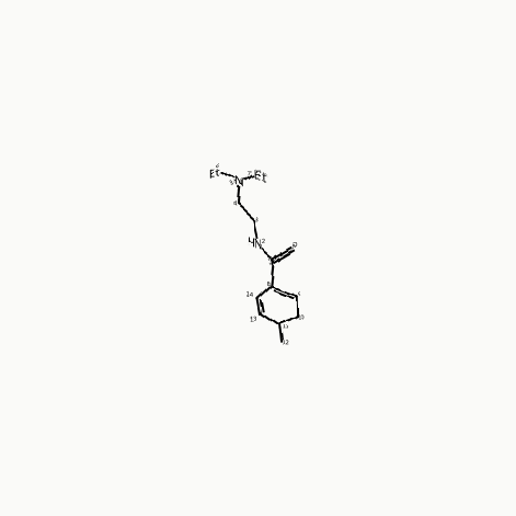 C=C(NCCN(CC)CC)C1=CCC(C)C=C1